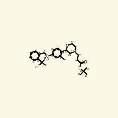 Cc1cc(OCc2ccccc2C(F)(F)F)ccc1C1CN(CCC(=O)OC(C)(C)C)CCO1